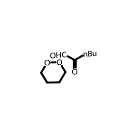 C1CCOOC1.CCCCC(=O)C=O